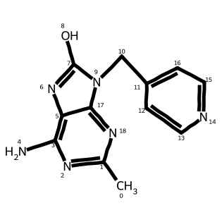 Cc1nc(N)c2nc(O)n(Cc3ccncc3)c2n1